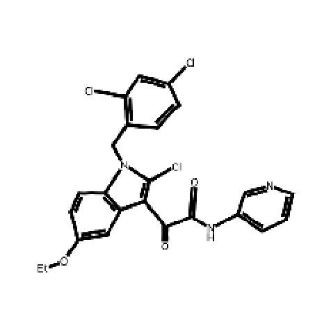 CCOc1ccc2c(c1)c(C(=O)C(=O)Nc1cccnc1)c(Cl)n2Cc1ccc(Cl)cc1Cl